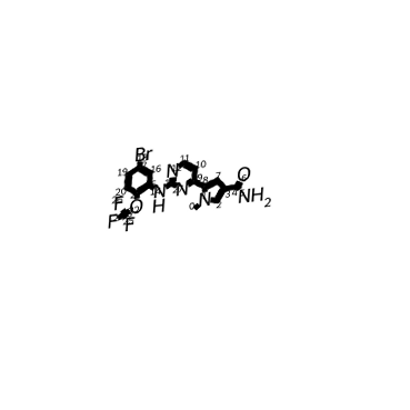 Cn1cc(C(N)=O)cc1-c1ccnc(Nc2cc(Br)ccc2OC(F)(F)F)n1